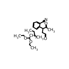 CC(=O)C(CC=O)c1ccccc1C#N.CCCC.CCOC(C)OCC